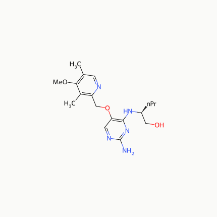 CCC[C@@H](CO)Nc1nc(N)ncc1OCc1ncc(C)c(OC)c1C